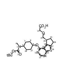 CN(C(=O)OC(C)(C)C)C1CCC(Oc2ncnc3sc4c(c23)[C@@H](COCC(=O)O)CC4)CC1